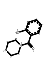 O=C(c1ccccc1O)N1CC[N]CC1